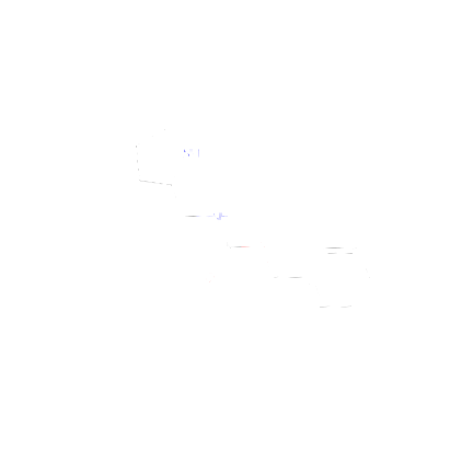 O=C(NCC1CCCN1)OCc1ccccc1